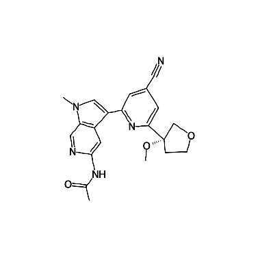 CO[C@@]1(c2cc(C#N)cc(-c3cn(C)c4cnc(NC(C)=O)cc34)n2)CCOC1